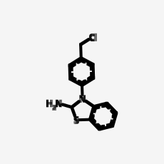 NC1Sc2ccccc2N1c1ccc(CCl)cc1